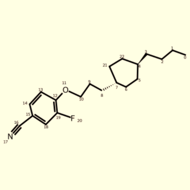 CCCC[C@H]1CC[C@H](CCCOc2ccc(C#N)cc2F)CC1